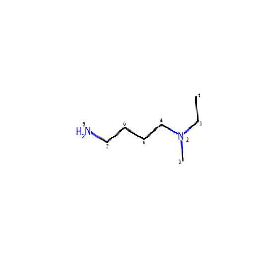 CCN(C)CCCCN